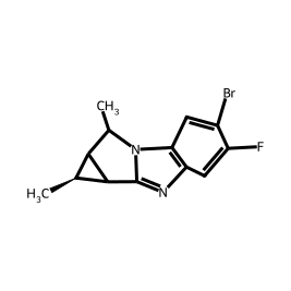 CC1C2C(c3nc4cc(F)c(Br)cc4n31)[C@H]2C